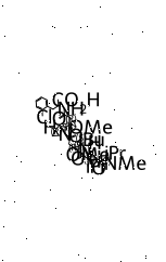 CC[C@H](C)[C@@H]([C@@H](CC(=O)N1C2C[C@@H]2C[C@H]1[C@H](OC)[C@@H](C)C(=O)NC(Cc1ccccc1Cl)C(=O)O)OC)N(C)C(=O)[C@@H](NC(=O)[C@@H](NC)C(C)C)C(C)C